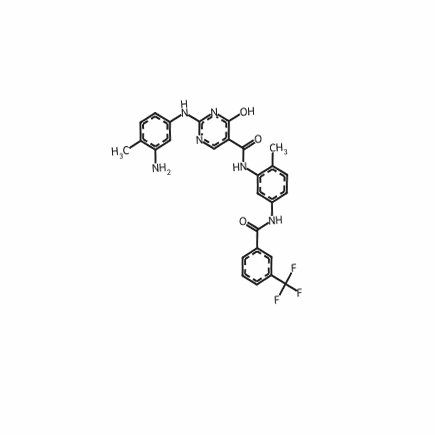 Cc1ccc(Nc2ncc(C(=O)Nc3cc(NC(=O)c4cccc(C(F)(F)F)c4)ccc3C)c(O)n2)cc1N